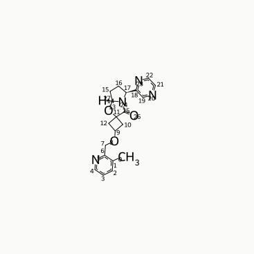 Cc1cccnc1COC1CC2(C1)O[C@@H]1CC[C@@H](c3cnccn3)N1C2=O